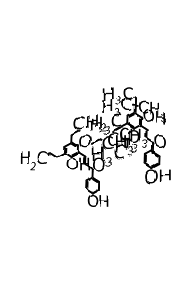 C=CCc1cc(CC=C)c(OCCC)c(C=CC(=O)c2ccc(O)cc2)c1O.CCCOc1c(C(C)(C)CC)cc(C(C)(C)CC)c(O)c1C=CC(=O)c1ccc(O)cc1